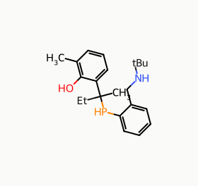 CCC(C)(Pc1ccccc1CNC(C)(C)C)c1cccc(C)c1O